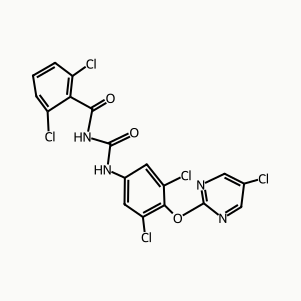 O=C(NC(=O)c1c(Cl)cccc1Cl)Nc1cc(Cl)c(Oc2ncc(Cl)cn2)c(Cl)c1